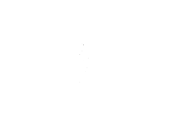 N#Cc1ccc(-c2cccc(-c3nc4cc(C#N)ccc4[nH]3)c2O)cc1